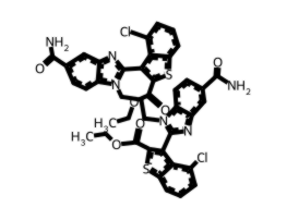 CCOC(=O)c1sc2cccc(Cl)c2c1-c1nc2cc(C(N)=O)ccc2n1CCCn1c(-c2c(C(=O)OCC)sc3cccc(Cl)c23)nc2cc(C(N)=O)ccc21